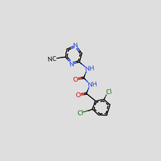 N#Cc1cncc(NC(=O)NC(=O)c2c(Cl)cccc2Cl)n1